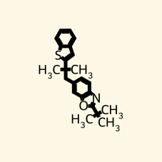 CC(C)(C)c1nc2ccc(CC(C)(C)c3cc4ccccc4s3)cc2o1